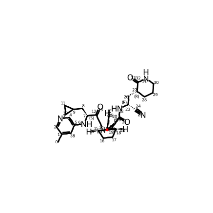 Cc1cncc(N[C@@H](CC2CC2)C(=O)N2[C@H]3CC[C@@H]([C@@H]2C(=O)N[C@@H](C#N)C[C@H]2CCCNC2=O)C(F)(F)C3)c1